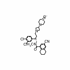 CN(C[C@@H](CCN1CC(N2CC[S+]([O-])CC2)C1)c1ccc(Cl)c(Cl)c1)C(=O)c1cc(C#N)cc2c1CCCC2